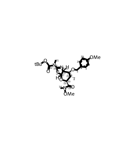 COc1ccc(CO[C@H]2[C@H](C)[C@@H](C(=O)N(C)OC)O[C@@H]3SC(N(C)C(=O)OC(C)(C)C)=N[C@H]23)cc1